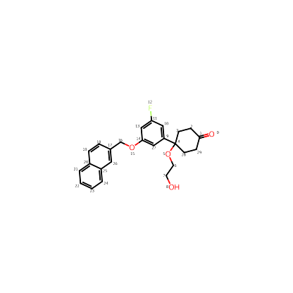 O=C1CCC(OCCO)(c2cc(F)cc(OCc3ccc4ccccc4c3)c2)CC1